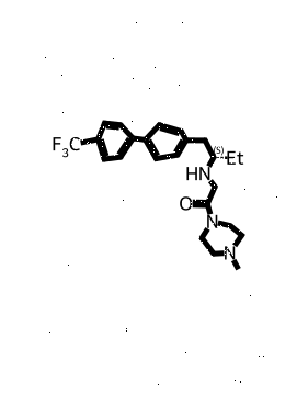 CC[C@@H](Cc1ccc(-c2ccc(C(F)(F)F)cc2)cc1)NCC(=O)N1CCN(C)CC1